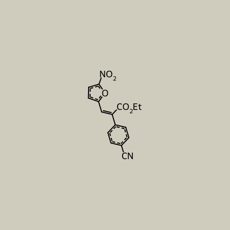 CCOC(=O)C(=Cc1ccc([N+](=O)[O-])o1)c1ccc(C#N)cc1